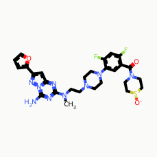 CN(CCN1CCN(c2cc(C(=O)N3CC[S+]([O-])CC3)c(F)cc2F)CC1)c1nc(N)n2nc(-c3ccco3)cc2n1